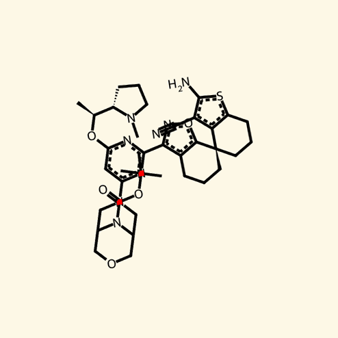 C[C@H](Oc1cc(N2CC3COCC(C2)N3C(=O)OC(C)(C)C)nc(-c2noc3c2CCC[C@@]32CCCc3sc(N)c(C#N)c32)n1)[C@@H]1CCCN1C